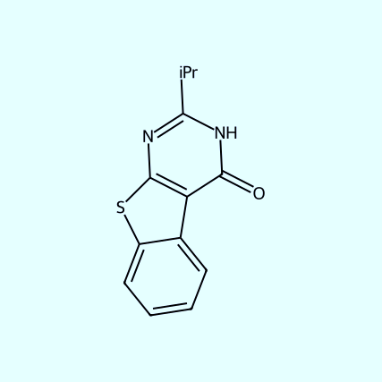 CC(C)c1nc2sc3ccccc3c2c(=O)[nH]1